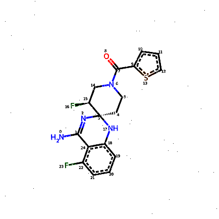 NC1=N[C@]2(CCN(C(=O)c3cccs3)C[C@@H]2F)Nc2cccc(F)c21